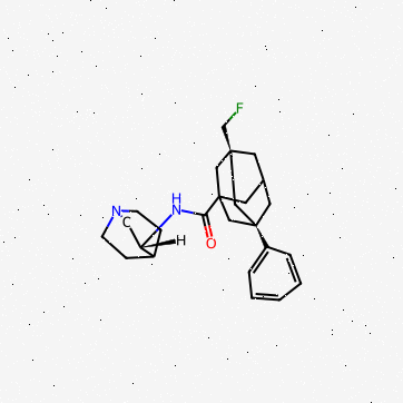 O=C(N[C@H]1CN2CCC1CC2)C12CC3C[C@@](CF)(C1)C[C@](c1ccccc1)(C3)C2